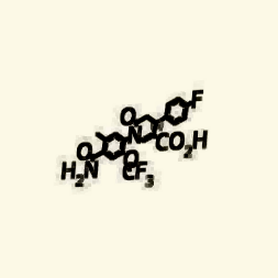 Cc1cc(N2C=C(C(=O)O)[C@H](c3ccc(F)cc3)CC2=O)c(OC(F)(F)F)cc1C(N)=O